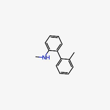 CNc1ccccc1-c1ccccc1C